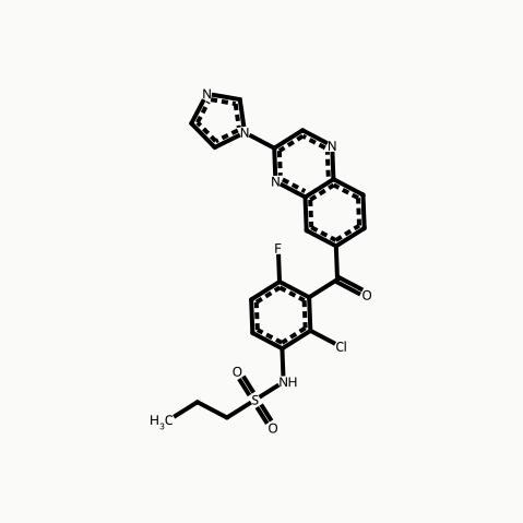 CCCS(=O)(=O)Nc1ccc(F)c(C(=O)c2ccc3ncc(-n4ccnc4)nc3c2)c1Cl